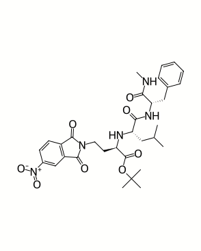 CNC(=O)[C@H](Cc1ccccc1)NC(=O)[C@H](CC(C)C)N[C@H](CCN1C(=O)c2ccc([N+](=O)[O-])cc2C1=O)C(=O)OC(C)(C)C